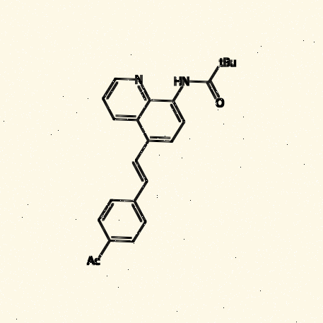 CC(=O)c1ccc(C=Cc2ccc(NC(=O)C(C)(C)C)c3ncccc23)cc1